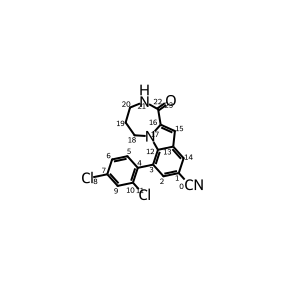 N#Cc1cc(-c2ccc(Cl)cc2Cl)c2c(c1)cc1n2CCCNC1=O